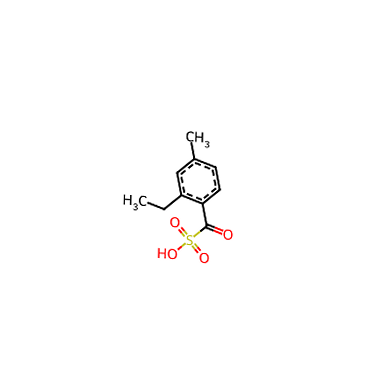 CCc1cc(C)ccc1C(=O)S(=O)(=O)O